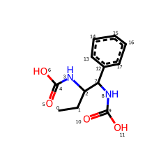 CCC(NC(=O)O)C(NC(=O)O)c1ccccc1